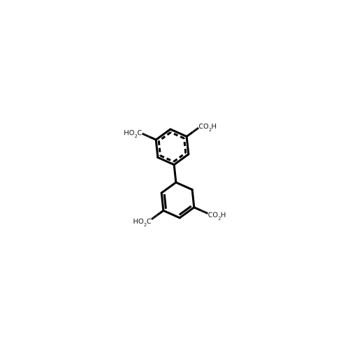 O=C(O)C1=CC(c2cc(C(=O)O)cc(C(=O)O)c2)CC(C(=O)O)=C1